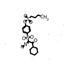 CCCCS(=O)(=O)Oc1ccc(S(=O)(=O)C(=[N+]=[N-])C(=O)C2CCCCC2)cc1